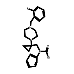 CCC(=O)N(CC1(N2CCN(Cc3ccccc3F)CC2)CC1)c1ccccc1